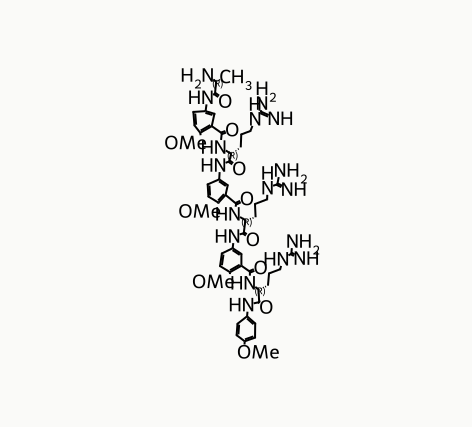 COc1ccc(NC(=O)[C@@H](CCCNC(=N)N)NC(=O)c2cc(NC(=O)[C@@H](CCCNC(=N)N)NC(=O)c3cc(NC(=O)[C@@H](CCCNC(=N)N)NC(=O)c4cc(NC(=O)[C@@H](C)N)ccc4OC)ccc3OC)ccc2OC)cc1